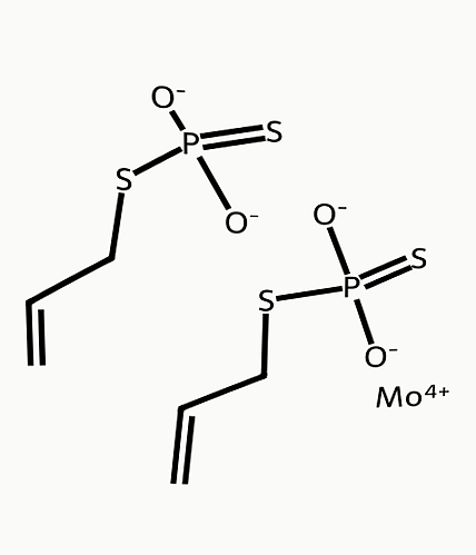 C=CCSP([O-])([O-])=S.C=CCSP([O-])([O-])=S.[Mo+4]